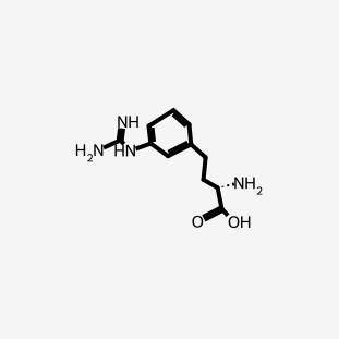 N=C(N)Nc1cccc(CC[C@H](N)C(=O)O)c1